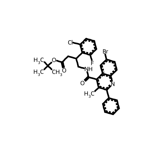 Cc1c(-c2ccccc2)nc2ccc(Br)cc2c1C(=O)NCC(CC(=O)OC(C)(C)C)c1c(F)cccc1Cl